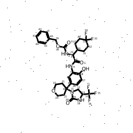 O=C(N[C@H](C(=O)Nc1cc(C2(N3CC(C(F)(F)F)NC3=O)CCOCC2)ccc1O)C1CCC(F)(F)CC1)OCc1ccccc1